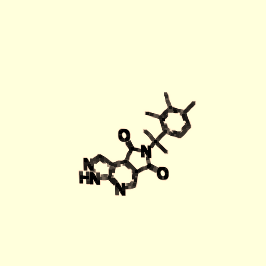 Cc1ccc(C(C)(C)N2C(=O)c3cnc4[nH]ncc4c3C2=O)c(C)c1C